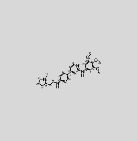 COc1cc(Nc2nccc(-c3ccc(NCCC4CCCN4C)nc3)n2)cc(OC)c1OC